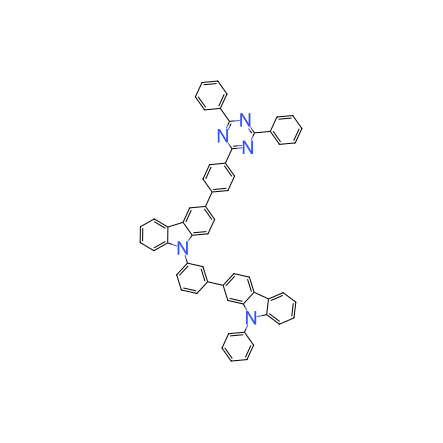 c1ccc(-c2nc(-c3ccccc3)nc(-c3ccc(-c4ccc5c(c4)c4ccccc4n5-c4cccc(-c5ccc6c7ccccc7n(-c7ccccc7)c6c5)c4)cc3)n2)cc1